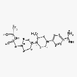 CC1CN(c2ccc(C(=N)N)cc2)CCN1C1CCN(CC(=O)OC(=O)C(F)(F)F)CC1